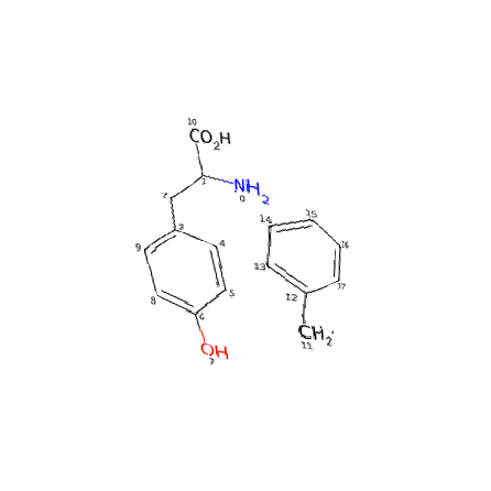 NC(Cc1ccc(O)cc1)C(=O)O.[CH2]c1ccccc1